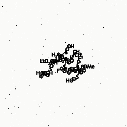 CCOC(=O)N1CCN(c2ccccc2CN(C)C(=O)CCCSc2ccc(O)cc2)CC1.CN(C)CCOc1ccccc1CN(C)C(=O)CCCSc1ccc(F)cc1.CN(Cc1cccc(Cl)c1Cl)C(=O)CCCSc1ccc(F)cc1.CN(Cc1ccccc1C(=O)O)C(=O)CCCSc1ccc(O)cc1.COC(=O)c1ccccc1CN(C)C(=O)CCCSc1ccc(O)cc1